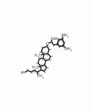 COC(Cc1cc(N)cc(N)c1)OC1CCC2(C)C(CCC3C2CCC2(C)C(C(C)CCCC(C)C)CCC32)C1